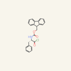 O=C(N[C@@H](Cc1ccccc1)C(=O)Cl)OCC1c2ccccc2-c2ccccc21